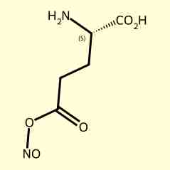 N[C@@H](CCC(=O)ON=O)C(=O)O